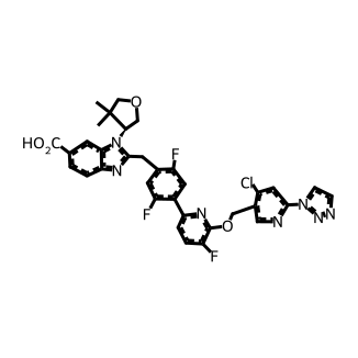 CC1(C)COC[C@H]1n1c(Cc2cc(F)c(-c3ccc(F)c(OCc4cnc(-n5ccnn5)cc4Cl)n3)cc2F)nc2ccc(C(=O)O)cc21